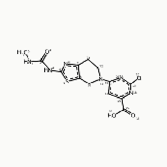 CNC(=O)Nc1nc2c(s1)CN(c1cc(C(=O)O)nc(Cl)n1)CC2